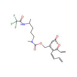 C=C/C=C\c1c(COC(=O)N(C)CCCC(C)NC(=O)C(F)(F)F)cc(=O)oc1C=C